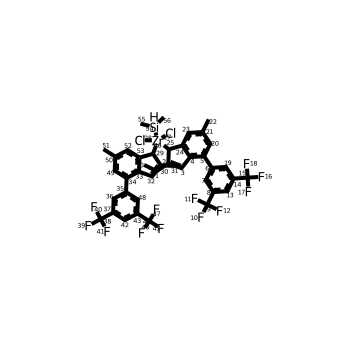 CCC1=Cc2c(-c3cc(C(F)(F)F)cc(C(F)(F)F)c3)cc(C)cc2[CH]1[Zr]([Cl])([Cl])([CH]1C(C)=Cc2c(-c3cc(C(F)(F)F)cc(C(F)(F)F)c3)cc(C)cc21)[SiH](C)C